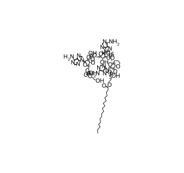 CCCCCCCCCCCCCCCCCC(=O)OCCSP(=O)(O)O[C@H]1C2OCCC[C@]2(COP(O)(=S)O[C@H]2C(O)[C@@H](COP(=O)(O)O[C@H]3C(OC)[C@@H](COP(=O)(O)OCCO)O[C@H]3n3cnc4c(N)ncnc43)O[C@H]2n2cnc3c(N)ncnc32)O[C@H]1n1cnc2c(N)ncnc21